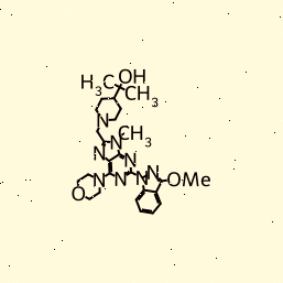 COc1nn(-c2nc(N3CCOCC3)c3nc(CN4CCC(C(C)(C)O)CC4)n(C)c3n2)c2ccccc12